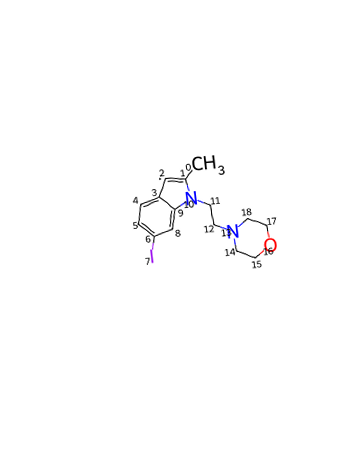 Cc1[c]c2ccc(I)cc2n1CCN1CCOCC1